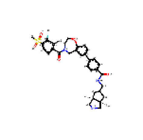 CCc1c(C(=O)N2CCOc3ccc(-c4ccc(C(=O)NCC5C[C@H]6CNC[C@H]6C5)cc4)cc3C2)ccc(S(C)(=O)=O)c1F